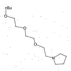 CCCCOCCOCCOCCN1CCCC1